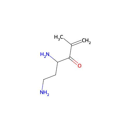 C=C(C)C(=O)C(N)CCN